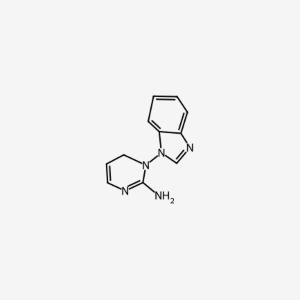 NC1=NC=CCN1n1cnc2ccccc21